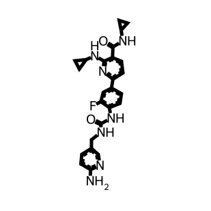 Nc1ccc(CNC(=O)Nc2ccc(-c3ccc(C(=O)NC4CC4)c(NC4CC4)n3)cc2F)cn1